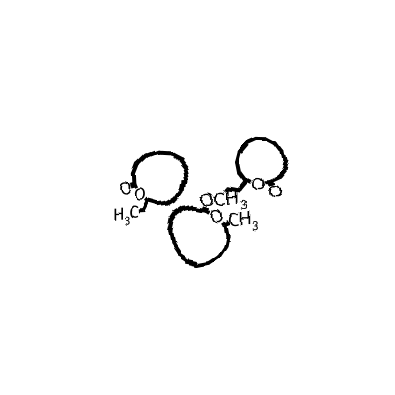 CC1CCCCC=CCCCCCCCC(=O)O1.CCC1CCCC=CCCCCCCCC(=O)O1.CCCC1CCC=CCCCCCCCC(=O)O1